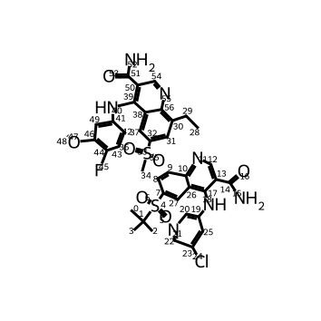 CC(C)(C)S(=O)(=O)c1ccc2ncc(C(N)=O)c(Nc3cncc(Cl)c3)c2c1.CCc1cc(S(C)(=O)=O)cc2c(Nc3ccc(F)c(OC)c3)c(C(N)=O)cnc12